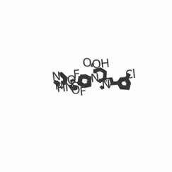 CN(C)[C@@]1(CCc2cccc(Cl)c2)CCCN(c2cc(F)c(S(=O)(=O)Nc3ccncn3)c(F)c2)C1.O=CO